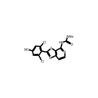 CNC(=O)Nc1nccc2nc(-c3c(Cl)cc(C#N)cc3Cl)sc12